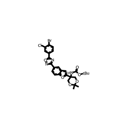 CC(C)(C)OC(=O)NC1(c2cc3cc(-c4noc(-c5ccc(Br)c(Cl)c5)n4)ccc3o2)COC(C)(C)OC1